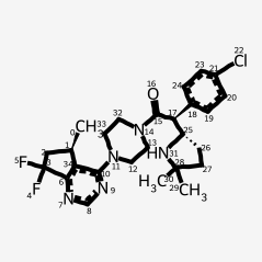 C[C@@H]1CC(F)(F)c2ncnc(N3CCN(C(=O)[C@@H](c4ccc(Cl)cc4)[C@@H]4CCC(C)(C)N4)CC3)c21